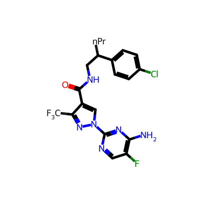 CCCC(CNC(=O)c1cn(-c2ncc(F)c(N)n2)nc1C(F)(F)F)c1ccc(Cl)cc1